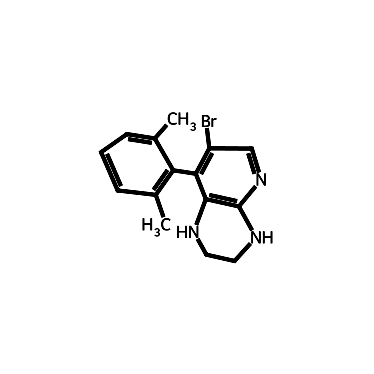 Cc1cccc(C)c1-c1c(Br)cnc2c1NCCN2